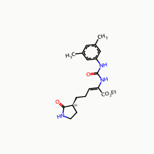 CCOC(=O)C(=CCC[C@H]1CCNC1=O)NC(=O)Nc1cc(C)cc(C)c1